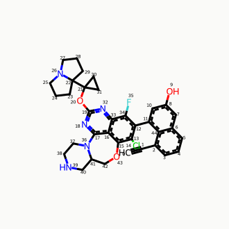 C#Cc1cccc2cc(O)cc(-c3c(Cl)c4c5c(nc(OC6(C78CCCN7CCC8)CC6)nc5c3F)N3CCNCC3CO4)c12